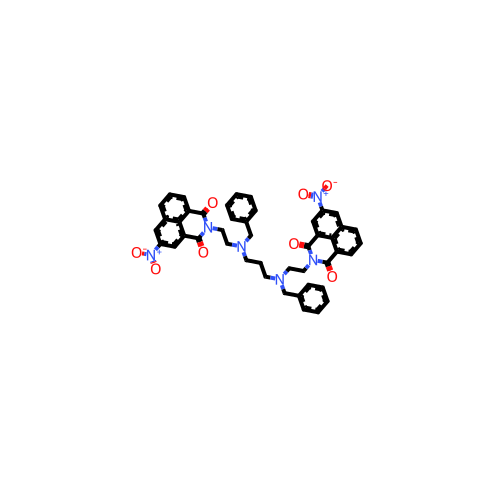 O=C1c2cccc3cc([N+](=O)[O-])cc(c23)C(=O)N1CCN(CCCN(CCN1C(=O)c2cccc3cc([N+](=O)[O-])cc(c23)C1=O)Cc1ccccc1)Cc1ccccc1